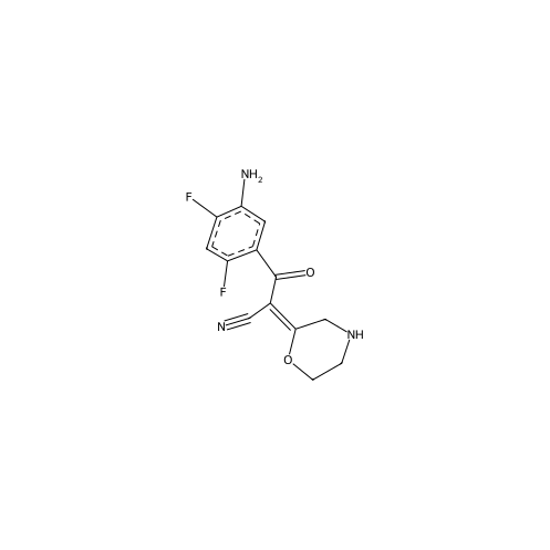 N#CC(C(=O)c1cc(N)c(F)cc1F)=C1CNCCO1